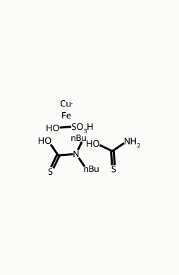 CCCCN(CCCC)C(O)=S.NC(O)=S.O=S(=O)(O)O.[Cu].[Fe]